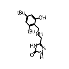 CC(C)(C)c1cc(O)c(CNCc2n[nH]c(=O)[nH]2)c(C(C)(C)C)c1